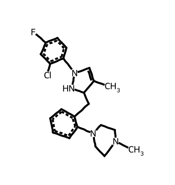 CC1=CN(c2ccc(F)cc2Cl)NC1Cc1ccccc1N1CCN(C)CC1